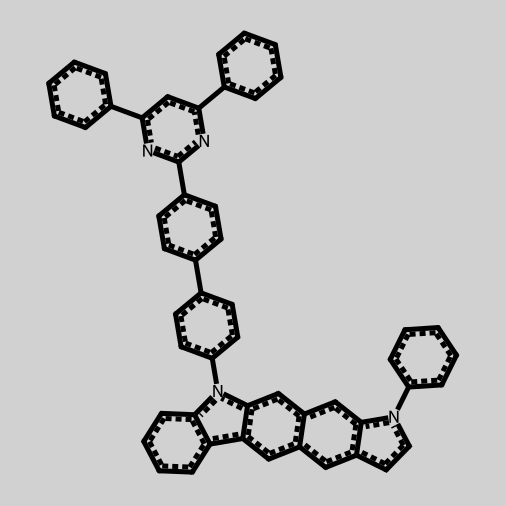 c1ccc(-c2cc(-c3ccccc3)nc(-c3ccc(-c4ccc(-n5c6ccccc6c6cc7cc8ccn(-c9ccccc9)c8cc7cc65)cc4)cc3)n2)cc1